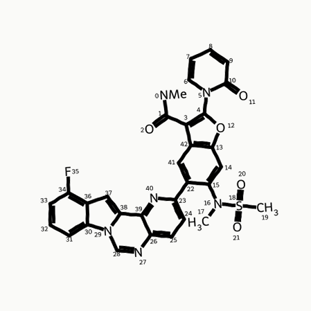 CNC(=O)c1c(-n2ccccc2=O)oc2cc(N(C)S(C)(=O)=O)c(-c3ccc4ncn5c6cccc(F)c6cc5c4n3)cc12